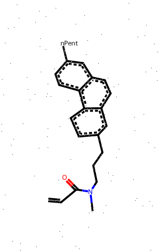 C=CC(=O)N(C)CCCc1ccc2c(ccc3cc(CCCCC)ccc32)c1